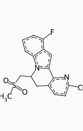 CS(=O)(=O)CC1Cc2ccc(Cl)nc2-c2cc3c(F)cccc3n21